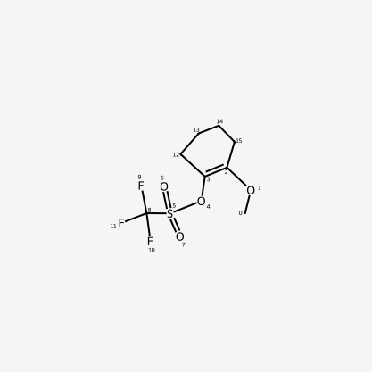 COC1=C(OS(=O)(=O)C(F)(F)F)CCCC1